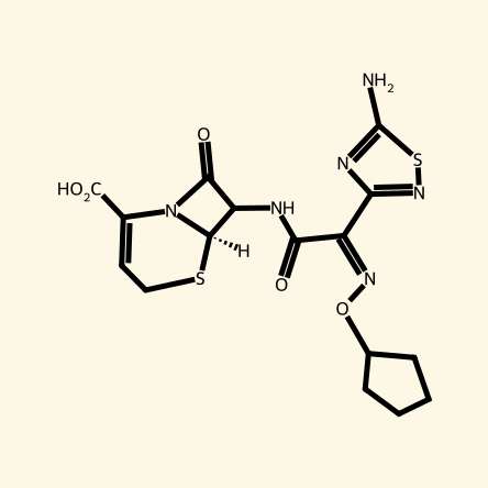 Nc1nc(/C(=N/OC2CCCC2)C(=O)NC2C(=O)N3C(C(=O)O)=CCS[C@H]23)ns1